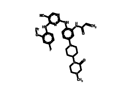 C=CC(=O)Nc1cc(N2CCC(N3CCN(C)CC3=O)CC2)ccc1Nc1ncc(C#N)c(Nc2ccc(F)cc2OC(C)C)n1